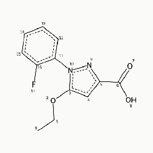 CCOc1cc(C(=O)O)nn1-c1ccccc1F